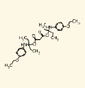 CCOc1ccc(NC(CC)(CC)OC(=O)CC(=O)OC(CC)(CC)Nc2ccc(OCC)cc2)cc1